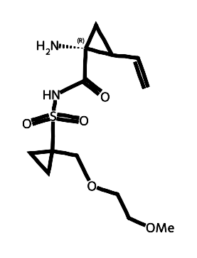 C=CC1C[C@]1(N)C(=O)NS(=O)(=O)C1(COCCOC)CC1